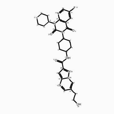 O=C(NC1CCC(n2c(=O)c3cc(F)cnc3n(C3CCSCC3)c2=O)CC1)c1cc2ncc(CCO)cn2n1